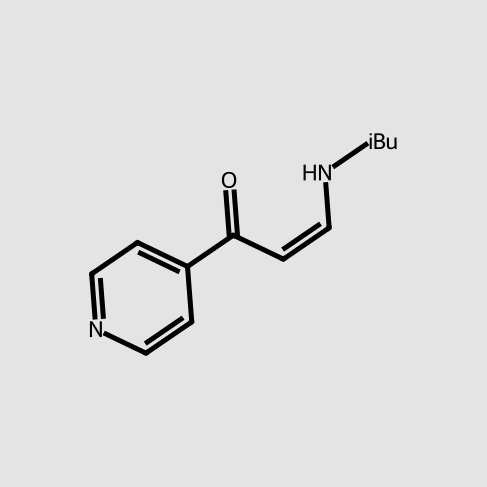 CCC(C)N/C=C\C(=O)c1ccncc1